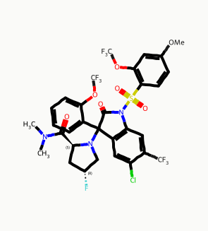 COc1ccc(S(=O)(=O)N2C(=O)C(c3ccccc3OC(F)(F)F)(N3C[C@H](F)C[C@H]3C(=O)N(C)C)c3cc(Cl)c(C(F)(F)F)cc32)c(OC(F)(F)F)c1